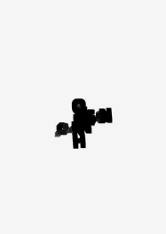 Cc1cccc(CCNc2nc(N3CCOCC3)c3sc(-c4ccncc4)cc3n2)c1